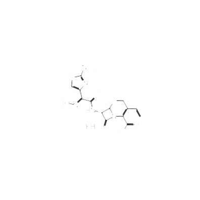 C=CC1=C(C(=O)O)N2C(=O)[C@@H](NC(=O)C(=NO)c3csc(N)n3)[C@H]2SC1.[KH]